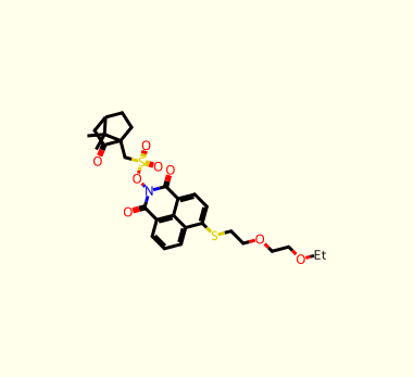 CCOCCOCCSc1ccc2c3c(cccc13)C(=O)N(OS(=O)(=O)CC13CCC(CC1=O)C3(C)C)C2=O